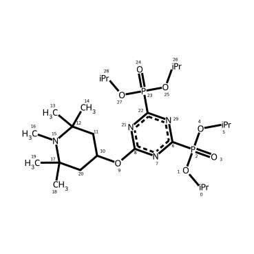 CC(C)OP(=O)(OC(C)C)c1nc(OC2CC(C)(C)N(C)C(C)(C)C2)nc(P(=O)(OC(C)C)OC(C)C)n1